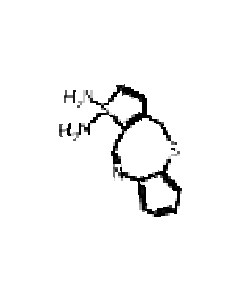 NS1(N)C=CC2=C1C=Nc1ccccc1SC2